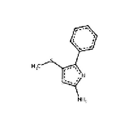 CSc1sc(N)nc1-c1ccccc1